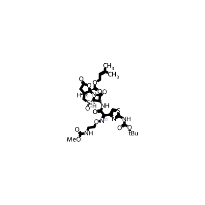 COC(=O)NCCO/N=C(\C(=O)N[C@@H]1C(=O)N2[C@@H]1[S@@+]([O-])C[C@@H]1CC(=O)O[C@@]12C(=O)OCC=C(C)C)c1csc(NC(=O)OC(C)(C)C)n1